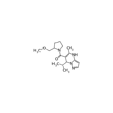 COCC1CCCN1C(=O)C1=C(C)Nc2ccnn2C1C(C)C